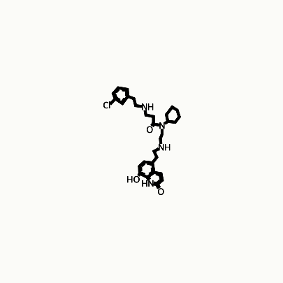 O=C(CCNCCc1cccc(Cl)c1)N(CCNCCc1ccc(O)c2[nH]c(=O)ccc12)C1CCCCC1